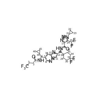 O=C(CCC(F)(F)F)NC(c1cnn2cc([C@@H](NC(=O)c3nnn(C4CC4)c3C(F)F)C3CCC(F)(F)CC3)nc2c1)C1CC1